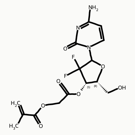 C=C(C)C(=O)OCC(=O)O[C@H]1[C@@H](CO)OC(n2ccc(N)nc2=O)C1(F)F